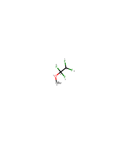 CCC[CH]OC(F)(F)C(F)F